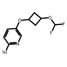 [2H]c1ccc(OC2CC(OC(F)F)C2)cn1